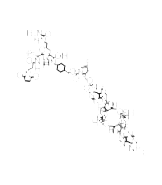 CC(C)[C@H](NC(=O)CCN1C(=O)C=CC1=O)C(=O)N[C@@H](CCCNC(N)=O)C(O)Nc1ccc(COC(=O)N2C[C@@H](F)C[C@H]2COC(=O)Nc2ncnc3c2ncn3[C@@H]2O[C@@H]3CO[P@](=O)(S)O[C@H]4[C@@H](F)[C@H](n5cnc6c(N)ncnc65)O[C@@H]4CO[P@@](=O)(S)O[C@H]3[C@H]2F)cc1